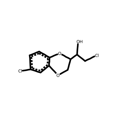 OC(CCl)C1COc2cc(Cl)ccc2O1